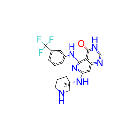 O=c1[nH]cnc2cc(N[C@H]3CCCNC3)nc(Nc3cccc(C(F)(F)F)c3)c12